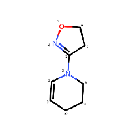 C1=CN(C2=NOCC2)CCC1